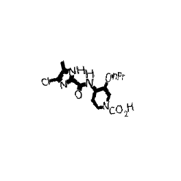 CCCOC1CN(C(=O)O)CCC1NC(=O)c1nc(Cl)c(C)[nH]1